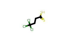 S=C(S)CCC(Cl)(Cl)Cl